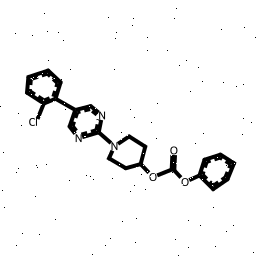 O=C(Oc1ccccc1)OC1CCN(c2ncc(-c3ccccc3Cl)cn2)CC1